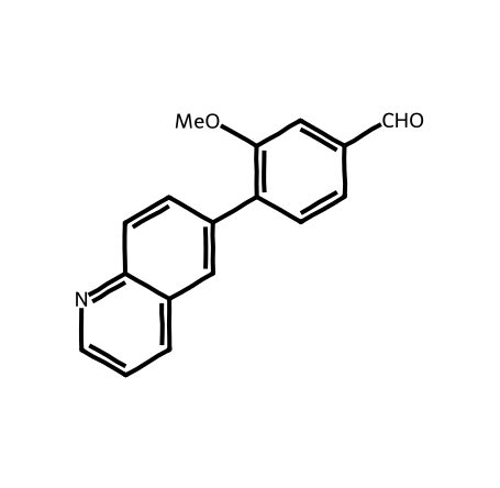 COc1cc(C=O)ccc1-c1ccc2ncccc2c1